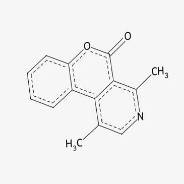 Cc1ncc(C)c2c1c(=O)oc1ccccc12